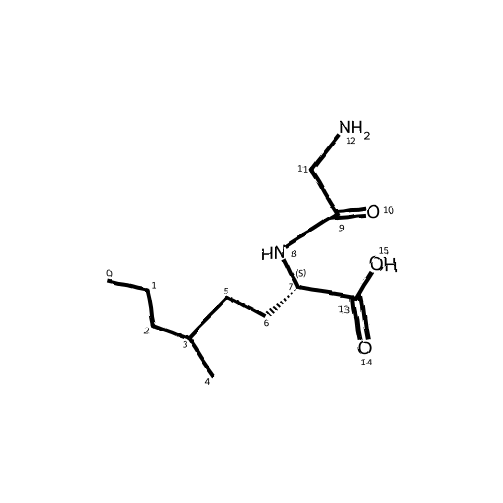 CCCC(C)CC[C@H](NC(=O)CN)C(=O)O